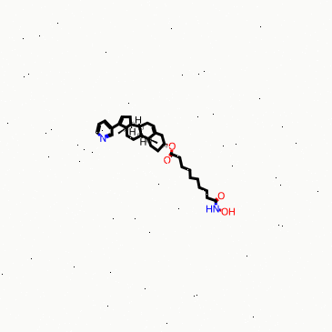 C[C@]12CC[C@@H](OC(=O)CCCCCCCCC(=O)NO)CC1=CC[C@@H]1[C@@H]2CC[C@]2(C)C(c3cccnc3)=CC[C@@H]12